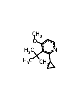 COc1ccnc(C2CC2)c1C(C)(C)C